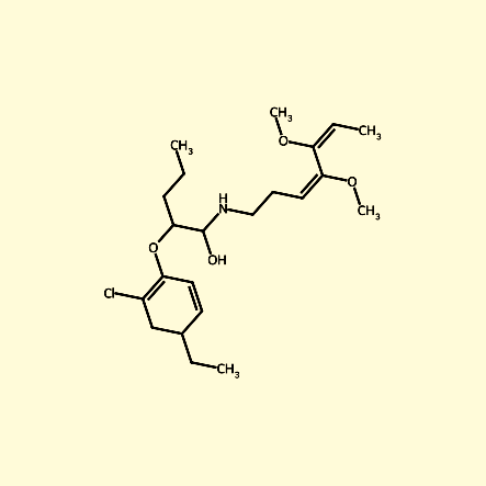 C/C=C(OC)\C(=C/CCNC(O)C(CCC)OC1=C(Cl)CC(CC)C=C1)OC